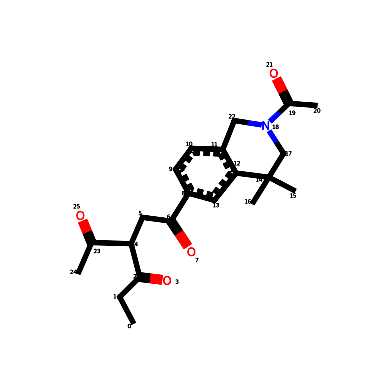 CCC(=O)C(CC(=O)c1ccc2c(c1)C(C)(C)CN(C(C)=O)C2)C(C)=O